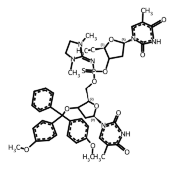 CC[C@H]1O[C@@H](n2cc(C)c(=O)[nH]c2=O)CC1OP(=S)(N=C1N(C)CCN1C)OC[C@H]1O[C@@H](n2cc(C)c(=O)[nH]c2=O)CC1OC(c1ccccc1)(c1ccc(OC)cc1)c1ccc(OC)cc1